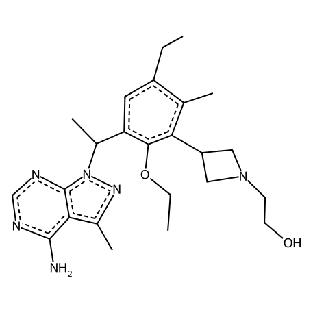 CCOc1c(C(C)n2nc(C)c3c(N)ncnc32)cc(CC)c(C)c1C1CN(CCO)C1